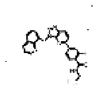 CCNC(=O)c1ccc(-c2ccc3nnn(Cc4cccc5cccnc45)c3n2)cc1F